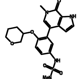 CNS(=O)(=O)Nc1ccc(OC2CCCOC2)c(-c2cn(C)c(=O)c3[nH]ccc23)c1